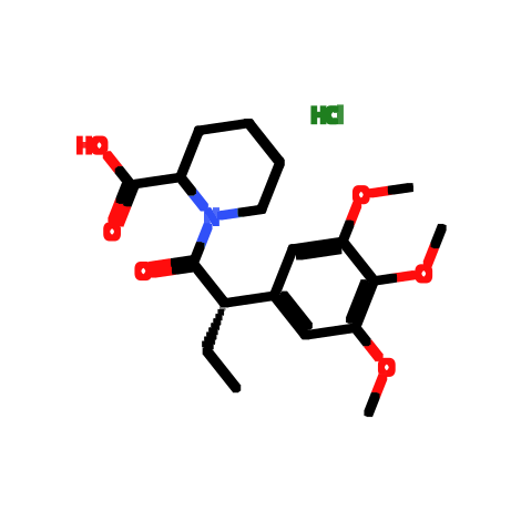 CC[C@H](C(=O)N1CCCCC1C(=O)O)c1cc(OC)c(OC)c(OC)c1.Cl